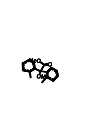 COC(=O)C(OC)(c1ccccc1C)c1ccccc1C